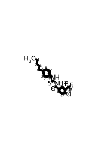 CCCCCc1ccc(NC(=S)NC(=O)c2ccc(Cl)c(C(F)(F)F)c2)cc1